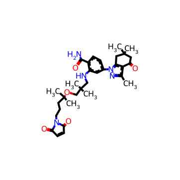 Cc1nn(-c2ccc(C(N)=O)c(NCC(C)(C)COC(C)(C)CCCN3C(=O)C=CC3=O)c2)c2c1C(=O)CC(C)(C)C2